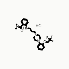 CN(C)C(=O)c1ccccc1NCCCN1CCN(c2ccccc2OCC(F)(F)F)CC1.Cl